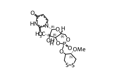 CO[C@@H]1CSSCC1OP1(=O)OC[C@H]2O[C@@H](n3ccc(=O)[nH]c3=O)[C@](C)(O)[C@@H]2O1